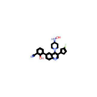 N#Cc1cccc(-c2ccc3ncc(C4=CC(F)=CC4)c(N4CCC(NO)CC4)c3c2)c1O